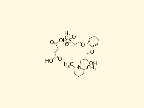 CC1CCCC(C)N1CC(O)COc1ccccc1OCCS(C)(=O)=O.O=C(O)/C=C/C(=O)O